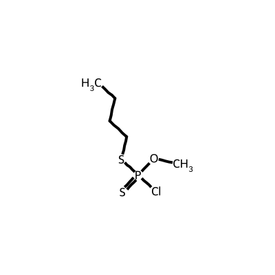 CCCCSP(=S)(Cl)OC